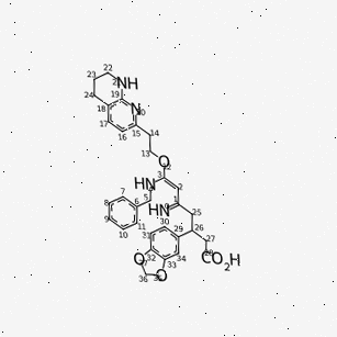 N=C(/C=C(\NCc1ccccc1)OCCc1ccc2c(n1)NCCC2)CC(CC(=O)O)c1ccc2c(c1)OCO2